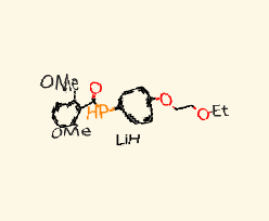 CCOCCOc1ccc(PC(=O)c2c(OC)cccc2OC)cc1.[LiH]